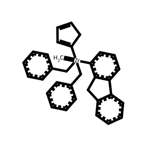 [CH2]=[Zr]([CH2]c1ccccc1)([CH2]c1ccccc1)([C]1=CC=CC1)[c]1cccc2c1Cc1ccccc1-2